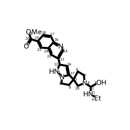 CCNC(O)N1CCC2(CCN3NC(c4cnc5ccc(C(=O)OC)cc5c4)C=C32)C1